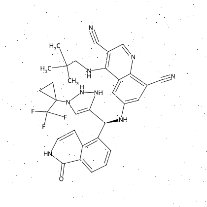 CC(C)(C)CNc1c(C#N)cnc2c(C#N)cc(N[C@H](C3=CN(C4(C(F)(F)F)CC4)NN3)c3cccc4c(=O)[nH]ccc34)cc12